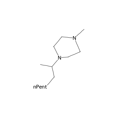 CCCCCCC(C)N1CCN(C)CC1